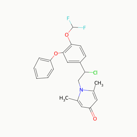 Cc1cc(=O)cc(C)n1CC(Cl)c1ccc(OC(F)F)c(Oc2ccccc2)c1